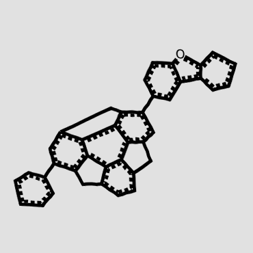 c1ccc(-c2cc3c4c5c2Cc2ccc6c(c25)c2c(cc(-c5ccc7oc8ccccc8c7c5)c(c24)C3)C6)cc1